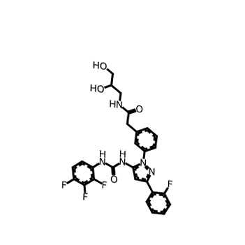 O=C(Cc1cccc(-n2nc(-c3ccccc3F)cc2NC(=O)Nc2ccc(F)c(F)c2F)c1)NCC(O)CO